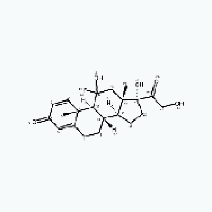 C[C@]12C=CC(=O)C=C1CC[C@@H]1[C@@H]2C(O)(F)C[C@@]2(C)[C@H]1CC[C@]2(O)C(=O)CO